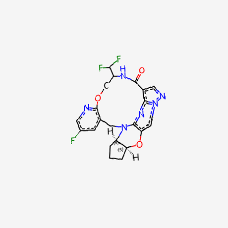 O=C1NC(C(F)F)COc2ncc(F)cc2CN2c3nc4c1cnn4cc3O[C@H]1CCC[C@H]12